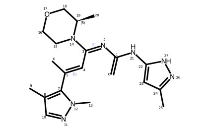 C=C(/N=C(\C=C(/C)c1c(C)cnn1C)N1CCOC[C@H]1C)Nc1cc(C)n[nH]1